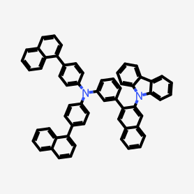 c1cc(-c2cc3ccccc3cc2-n2c3ccccc3c3ccccc32)cc(N(c2ccc(-c3cccc4ccccc34)cc2)c2ccc(-c3cccc4ccccc34)cc2)c1